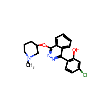 CN1CCCC(Oc2nnc(-c3ccc(Cl)cc3O)c3ccccc23)C1